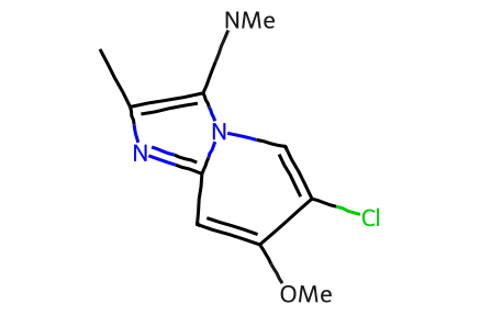 CNc1c(C)nc2cc(OC)c(Cl)cn12